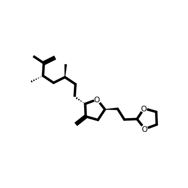 C=C1C[C@H](CCC2OCCO2)O[C@H]1CC[C@H](C)C[C@H](C)C(=C)C